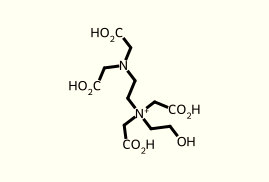 O=C(O)CN(CC[N+](CCO)(CC(=O)O)CC(=O)O)CC(=O)O